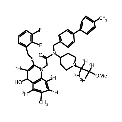 [2H]C1=C(SCc2cccc(F)c2F)N(CC(=O)N(Cc2ccc(-c3ccc(C(F)(F)F)cc3)cc2)C2CCN(C([2H])([2H])C([2H])([2H])OC)CC2)c2c([2H])c([2H])c(C)c([2H])c2C1O